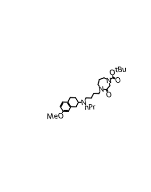 CCCN(CCCCN1CCCN(C(=O)OC(C)(C)C)CC1=O)C1CCc2ccc(OC)cc2C1